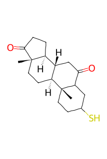 C[C@]12CCC(S)CC1C(=O)C[C@@H]1[C@@H]2CC[C@]2(C)C(=O)CC[C@@H]12